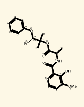 COc1ccnc(C(=O)NC(C)C(=O)OC(C)(C)[C@@H](Oc2ccccc2)C(C)C)c1O